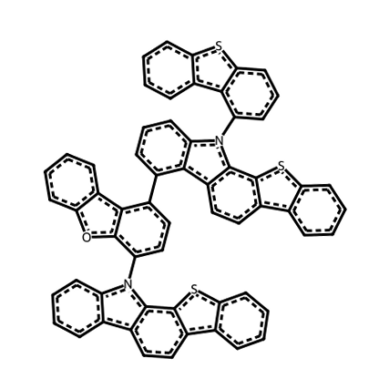 c1ccc2c(c1)oc1c(-n3c4ccccc4c4ccc5c6ccccc6sc5c43)ccc(-c3cccc4c3c3ccc5c6ccccc6sc5c3n4-c3cccc4sc5ccccc5c34)c12